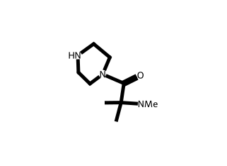 CNC(C)(C)C(=O)N1CCNCC1